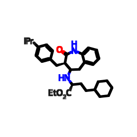 CCOC(=O)[C@H](CCC1CCCCC1)NC1Cc2ccccc2NC(=O)[C@@H]1Cc1ccc(C(C)C)cc1